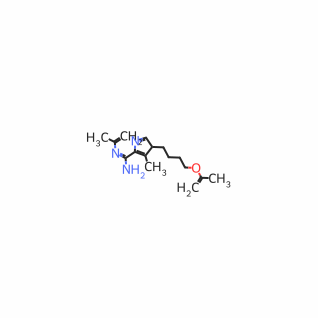 C=C(C)/N=C(/N)C1=C(C)C(CCCCOC(=C)C)C=N1